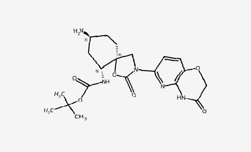 CC(C)(C)OC(=O)N[C@@H]1C[C@@H](N)CC[C@@]12CN(c1ccc3c(n1)NC(=O)CO3)C(=O)O2